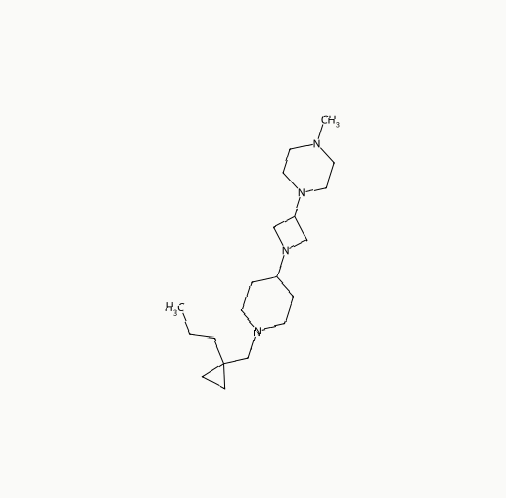 CCCC1(CN2CCC(N3CC(N4CCN(C)CC4)C3)CC2)CC1